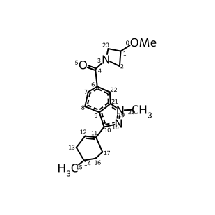 COC1CN(C(=O)c2ccc3c(C4=CCC(C)CC4)nn(C)c3c2)C1